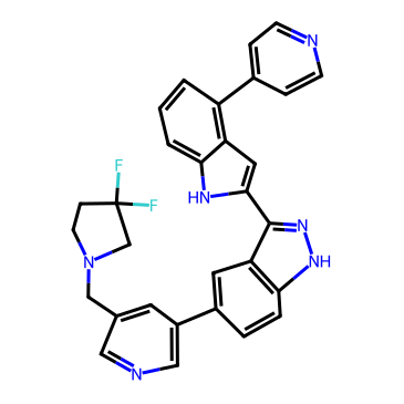 FC1(F)CCN(Cc2cncc(-c3ccc4[nH]nc(-c5cc6c(-c7ccncc7)cccc6[nH]5)c4c3)c2)C1